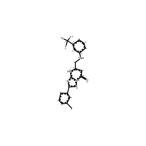 Cc1cccc(-c2nc3[nH]c(CNc4cccc(C(F)(F)F)c4)cc(=O)n3n2)c1